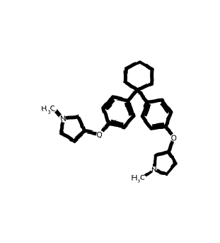 CN1CCC(Oc2ccc(C3(c4ccc(OC5CCN(C)C5)cc4)CCCCC3)cc2)C1